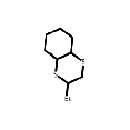 CCC1CSC2CCCCC2S1